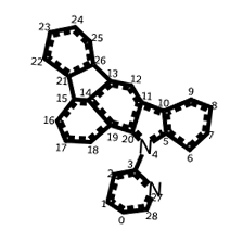 c1ccc(-n2c3ccccc3c3cc4c5c(cccc5c32)-c2ccccc2-4)nc1